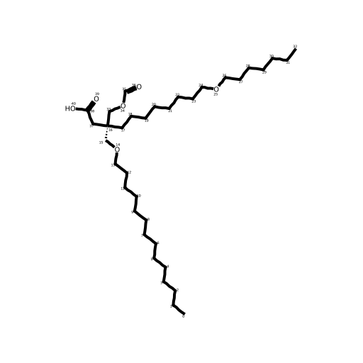 CCCCCCCCCCCCCCOC[C@@](CCCCCCCCOCCCCCCC)(COC=O)CC(=O)O